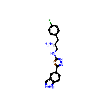 N[C@H](CNc1nnc(-c2ccc3[nH]ncc3c2)s1)Cc1ccc(F)cc1